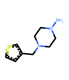 NN1CCN(Cc2ccsc2)CC1